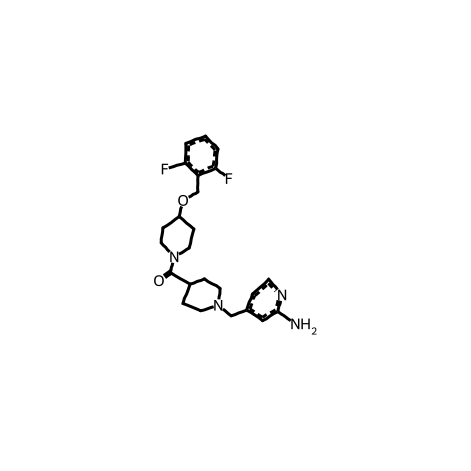 Nc1cc(CN2CCC(C(=O)N3CCC(OCc4c(F)cccc4F)CC3)CC2)ccn1